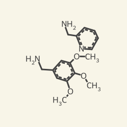 COc1cc(CN)cc(OC)c1OC.NCc1ccccn1